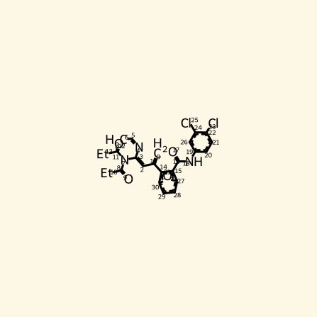 C=C(/C=C(\N=C/C)N(C(=O)CC)C(=O)CC)c1c(C(=O)Nc2ccc(Cl)c(Cl)c2)c2ccc1o2